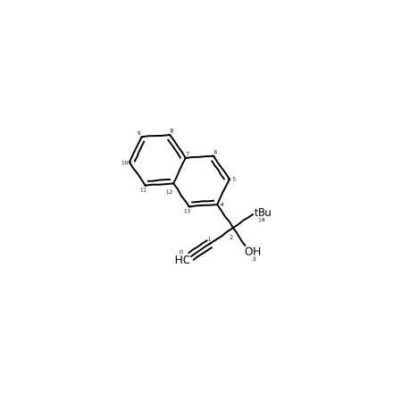 C#CC(O)(c1ccc2ccccc2c1)C(C)(C)C